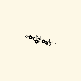 NC(=O)NC1(C=O)Cc2ccc(NC(=O)CN3C(=O)CC(c4ccc(Cl)cc4)Sc4ccccc43)cc2C1